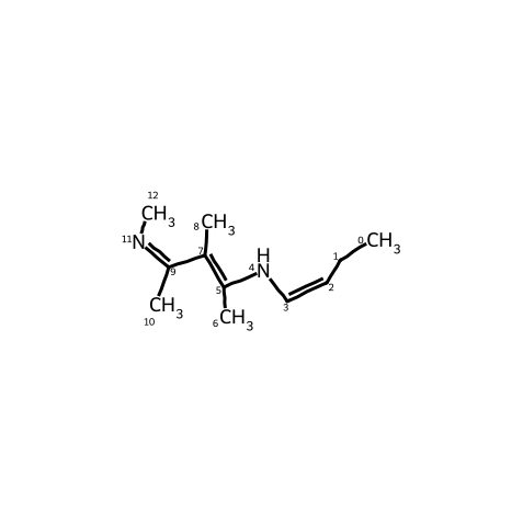 CC/C=C\N/C(C)=C(C)/C(C)=N\C